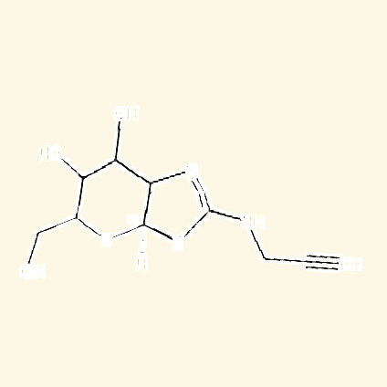 C#CCNC1=NC2C(O)C(O)C(CO)S[C@@H]2S1